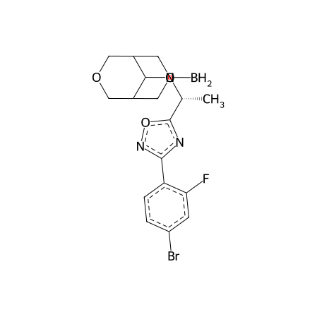 BN1CC2COCC(C1)C2O[C@H](C)c1nc(-c2ccc(Br)cc2F)no1